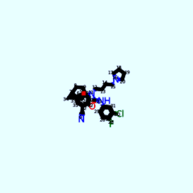 N#Cc1cccc([C@]23CC[C@@H](N(CCCCN4CCCC4)C(=O)Nc4ccc(F)c(Cl)c4)CC2C3)c1